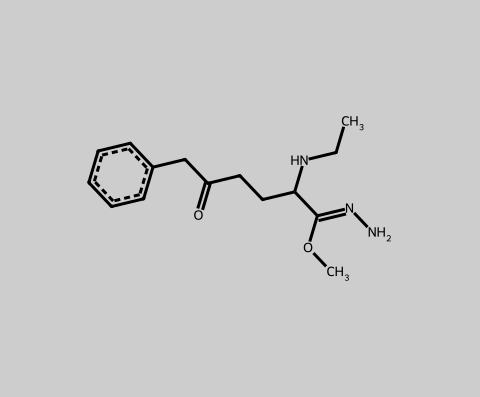 CCNC(CCC(=O)Cc1ccccc1)C(=NN)OC